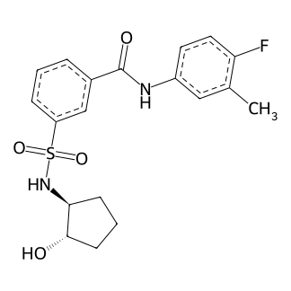 Cc1cc(NC(=O)c2cccc(S(=O)(=O)N[C@H]3CCC[C@@H]3O)c2)ccc1F